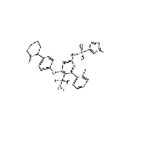 Cc1ccccc1-c1nc(NS(=O)(=O)c2cnn(C)c2)nc(Oc2ccc(C3CCCCN3C)cc2)c1C(F)(F)C(F)(F)F